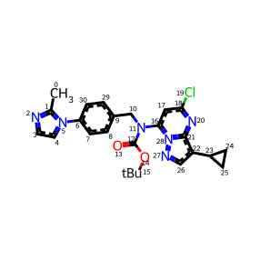 Cc1nccn1-c1ccc(CN(C(=O)OC(C)(C)C)c2cc(Cl)nc3c(C4CC4)cnn23)cc1